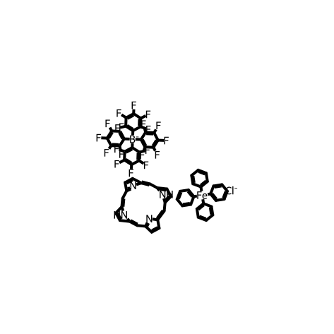 C1=Cc2cc3ccc(cc4nc(cc5ccc(cc1n2)[nH]5)C=C4)[nH]3.Fc1c(F)c(F)c([B-](c2c(F)c(F)c(F)c(F)c2F)(c2c(F)c(F)c(F)c(F)c2F)c2c(F)c(F)c(F)c(F)c2F)c(F)c1F.[Cl-].c1cc[c]([Fe-]([c]2ccccc2)([c]2ccccc2)[c]2ccccc2)cc1